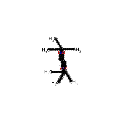 CCCCCCCCCCCCc1cc(N2C(=O)c3ccc4c5cccc6c(-c7ccc8c9ccc%10c%11c(ccc(c%12cccc7c%128)c%119)C(=O)N(c7cc(CCCCCCCCCCCC)c(CCCCCCCCCCCC)c(CCCCCCCCCCCC)c7)C%10=O)ccc(c7ccc(c3c47)C2=O)c65)cc(CCCCCCCCCCCC)c1CCCCCCCCCCCC